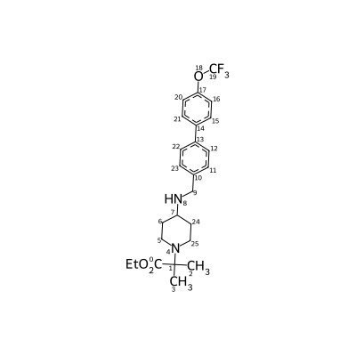 CCOC(=O)C(C)(C)N1CCC(NCc2ccc(-c3ccc(OC(F)(F)F)cc3)cc2)CC1